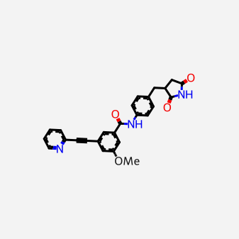 COc1cc(C#Cc2ccccn2)cc(C(=O)Nc2ccc(CC3CC(=O)NC3=O)cc2)c1